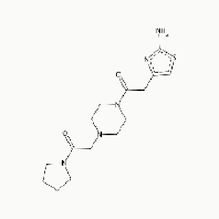 Nc1nc(CC(=O)N2CCN(CC(=O)N3CCCC3)CC2)cs1